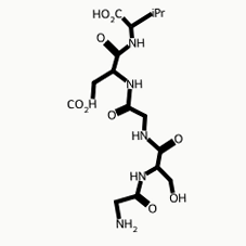 CC(C)C(NC(=O)C(CC(=O)O)NC(=O)CNC(=O)C(CO)NC(=O)CN)C(=O)O